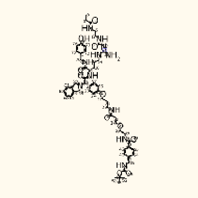 CCC(=O)NCCNC(=O)/N=C(/N)NCCC[C@@H](NC(=O)[C@H](c1ccc(OCCCNC(=O)CCOCCNC(=O)c2ccc(CNC(=O)OC(C)(C)C)cc2)cc1)N1Cc2ccccc2C1)C(=O)NCc1ccc(O)cc1